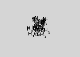 CC(C)CCCC(C)[C@H]1CC[C@H]2[C@H](CN=[N+]=[N-])[C@@H]([C@@]3(C)Cc4nccnc4C[C@@H]3CO[Si](C)(C)C(C)(C)C)CC[C@]12C